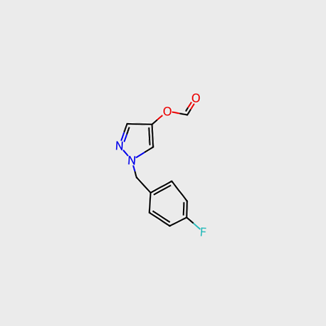 O=COc1cnn(Cc2ccc(F)cc2)c1